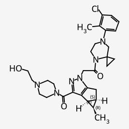 Cc1c(Cl)cccc1N1CCN(C(=O)Cn2nc(C(=O)N3CCN(CCO)CC3)c3c2C[C@H]2[C@@H](C)[C@@H]32)C2(CC2)C1